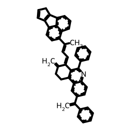 C=C1CCc2c(c(-c3ccccc3)nc3ccc(C(=C)c4ccccc4)cc23)/C1=C/C=C(\C)c1ccc2c3c(cccc13)C1=C2C=CC1